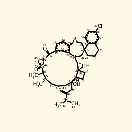 C[C@@H]1[C@@H](C)CCC[C@@](O)(CC(=S)N(C)C)[C@@H]2CC[C@H]2CN2C[C@@]3(CCCc4cc(Cl)ccc43)COc3ccc(cc32)C(=O)NS1(=O)=O